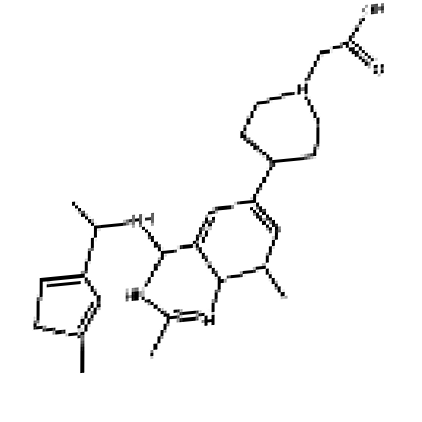 CC1=CC(C(C)NC2NC(C)=NC3C2=CC(C2CCN(CC(=O)O)CC2)=CC3C)=CC1